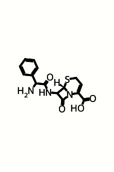 NC(C(=O)NC1C(=O)N2C(C(=O)O)=CCS[C@@H]12)c1ccccc1